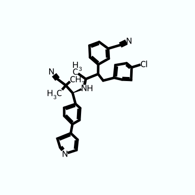 CC(N[C@@H](c1ccc(-c2ccncc2)cc1)C(C)(C)C#N)C(Cc1ccc(Cl)cc1)c1cccc(C#N)c1